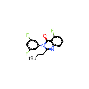 CC(C)(C)[CH]Cc1nc2cccc(F)c2c(=O)n1-c1cc(F)cc(F)c1